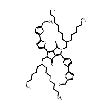 CCCCCCCCC(CCCCCC)CN1C(=O)C2=C(c3ccc(-c4ccc(OC)s4)s3)N(CC(CCCCCC)CCCCCCCC)C(=O)C2=C1c1ccc(-c2ccc(C=O)s2)s1